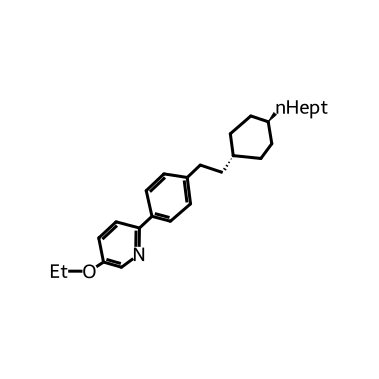 CCCCCCC[C@H]1CC[C@H](CCc2ccc(-c3ccc(OCC)cn3)cc2)CC1